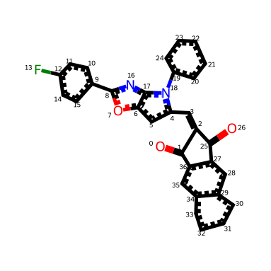 O=C1C(=Cc2cc3oc(-c4ccc(F)cc4)nc3n2-c2ccccc2)C(=O)c2cc3ccccc3cc21